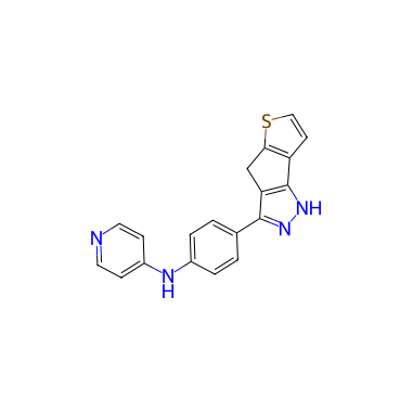 c1cc(Nc2ccc(-c3n[nH]c4c3Cc3sccc3-4)cc2)ccn1